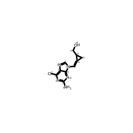 Nc1nc(Cl)c2ncn(/C=C3/CC3CO)c2n1